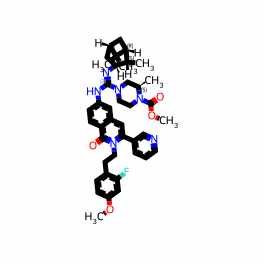 COC(=O)N1CCN(/C(=N\[C@H]2C[C@@H]3C[C@H]([C@@H]2C)C3(C)C)Nc2ccc3c(=O)n(CCc4ccc(OC)cc4F)c(-c4cccnc4)cc3c2)C[C@@H]1C